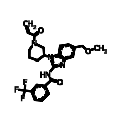 C=CC(=O)N1CCCC(n2c(NC(=O)c3cccc(C(F)(F)F)c3)nc3cc(COC)ccc32)C1